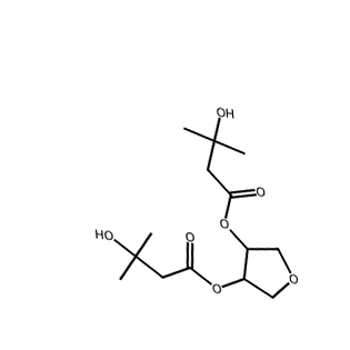 CC(C)(O)CC(=O)OC1COCC1OC(=O)CC(C)(C)O